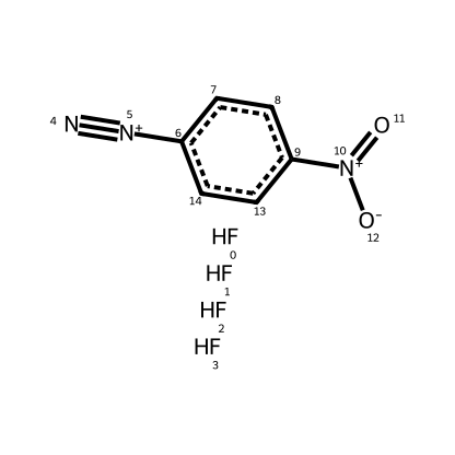 F.F.F.F.N#[N+]c1ccc([N+](=O)[O-])cc1